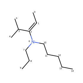 C/C=C(\C(C)C)N(CCC)CCCCC